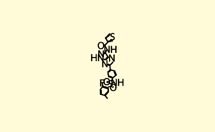 Cc1ccc(F)c(S(=O)(=O)Nc2ccc(-c3cnc4c(NC(=O)c5ccsc5)n[nH]c4n3)cc2)c1